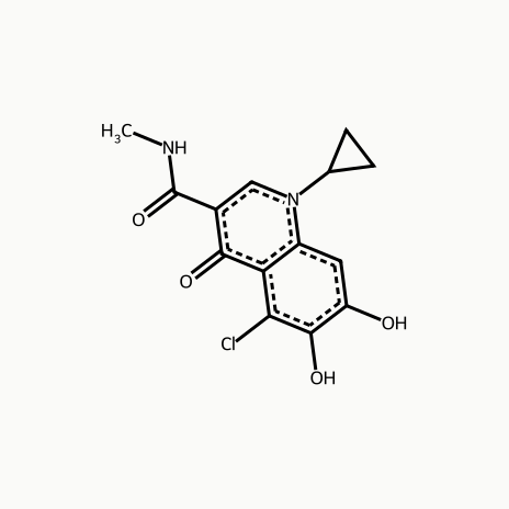 CNC(=O)c1cn(C2CC2)c2cc(O)c(O)c(Cl)c2c1=O